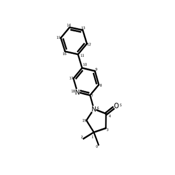 CC1(C)CC(=O)N(c2ccc(-c3ccccc3)cn2)C1